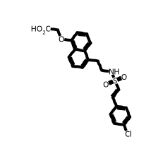 O=C(O)COc1cccc2c(CCNS(=O)(=O)C=Cc3ccc(Cl)cc3)cccc12